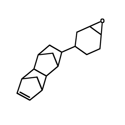 C1=CC2CC1C1C3CC(C4CCC5OC5C4)C(C3)C21